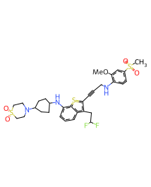 COc1cc(S(C)(=O)=O)ccc1NCC#Cc1sc2c(NC3CCC(N4CCS(=O)(=O)CC4)CC3)cccc2c1CC(F)F